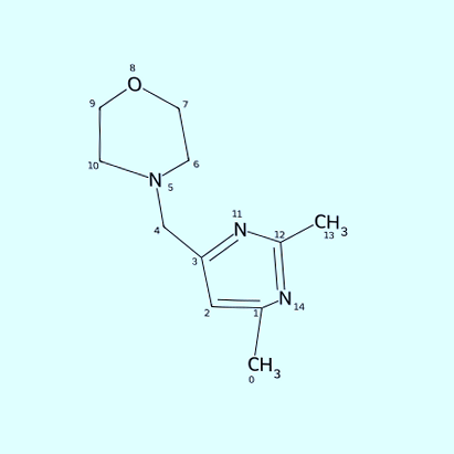 Cc1cc(CN2CCOCC2)nc(C)n1